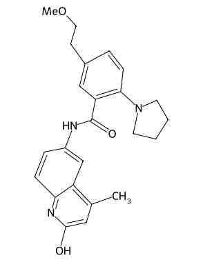 COCCc1ccc(N2CCCC2)c(C(=O)Nc2ccc3nc(O)cc(C)c3c2)c1